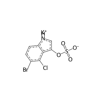 O=S(=O)([O-])Oc1c[nH]c2ccc(Br)c(Cl)c12.[K+]